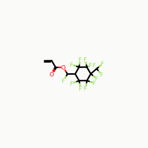 C=CC(=O)OC(F)C1C(F)(F)C(F)(F)C(F)(C(F)(F)F)C(F)(F)C1(F)F